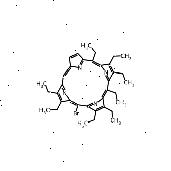 CCC1=C(CC)C2=C(Br)C3=NC(=C(CC)C4=NC(=C(CC)C5=NC(=CC1=N2)C=C5)C(CC)=C4CC)C(CC)=C3CC